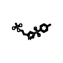 Cc1ccc(S(=O)(=O)n2cnc(CCOS(C)(=O)=O)c2)cc1